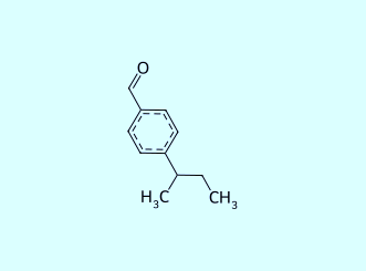 CCC(C)c1ccc(C=O)cc1